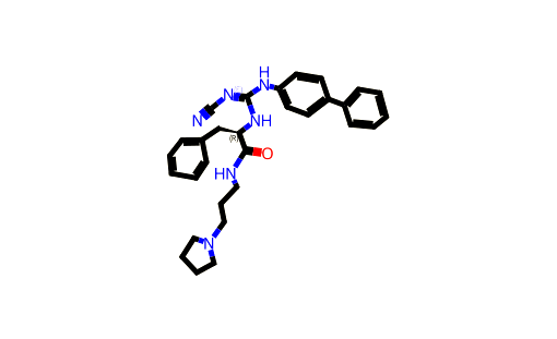 N#C/N=C(/Nc1ccc(-c2ccccc2)cc1)N[C@H](Cc1ccccc1)C(=O)NCCCN1CCCC1